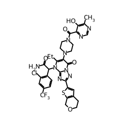 CCc1c(N2CCN(C(=O)c3ncnc(C)c3O)CC2)c(=O)n2nc(-c3cc4c(s3)COCC4)nc2n1C(C(N)=O)c1ccc(C(F)(F)F)cc1Cl